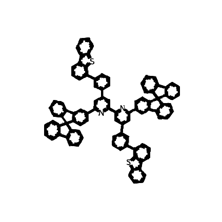 c1cc(-c2cc(-c3ccc4c(c3)-c3ccccc3C43c4ccccc4-c4ccccc43)nc(-c3cc(-c4cccc(-c5cccc6c5sc5ccccc56)c4)cc(-c4ccc5c(c4)-c4ccccc4C54c5ccccc5-c5ccccc54)n3)c2)cc(-c2cccc3c2sc2ccccc23)c1